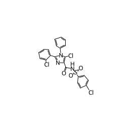 O=C(NS(=O)(=O)c1ccc(Cl)cc1)c1nc(-c2ccccc2Cl)n(-c2ccccc2)c1Cl